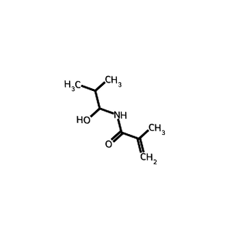 C=C(C)C(=O)NC(O)C(C)C